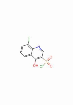 O=S(=O)(Cl)c1cnc2c(F)cccc2c1O